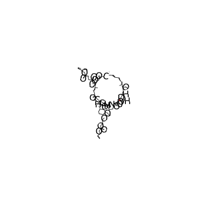 C=CCOC(=O)CCC(=O)O[C@@H]1/C(C)=C/[C@@H](C)C(=O)C[C@@H]2OC(=O)[C@@H]3C(CCCN3C(=O)C(=O)[C@]3(O)O[C@@H](CC[C@H]3C)C[C@H](OC)/C(C)=C/C=C/C=C/[C@@H](C)C[C@@H](C)C(=O)[C@@H]1OC)[C@@H]2C[C@@H]1CC[C@@H](OCCOC(=O)OCC=C)[C@H](OC)C1